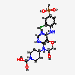 CS(=O)(=O)c1ccc(Nc2ncnc3c2OCC(=O)N3C2CCN(C(=O)O)CC2)c(F)c1